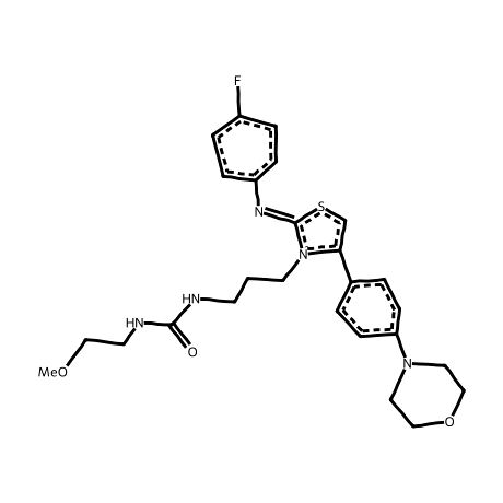 COCCNC(=O)NCCCn1c(-c2ccc(N3CCOCC3)cc2)cs/c1=N\c1ccc(F)cc1